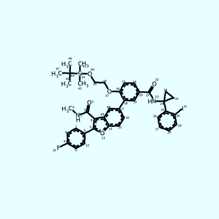 CNC(=O)c1c(-c2ccc(F)cc2)oc2ccc(-c3cc(C(=O)NC4(c5ccccc5I)CC4)ccc3OCCO[Si](C)(C)C(C)(C)C)cc12